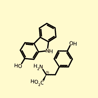 N[C@@H](Cc1ccc(O)cc1)C(=O)O.Oc1ccc2c(c1)[nH]c1ccccc12